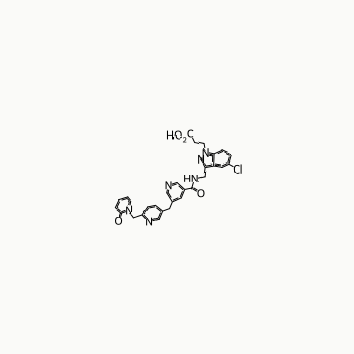 O=C(O)CCn1nc(CNC(=O)c2cncc(Cc3ccc(Cn4ccccc4=O)nc3)c2)c2cc(Cl)ccc21